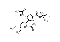 CCC(CC)C[C@H](NC(C)=O)[C@@H]1N[C@@H](C(=O)OC(C)(C)C)C[C@H]1NC(C)=O